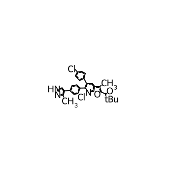 Cc1n[nH]cc1-c1ccc(-c2nc3oc(C(=O)C(C)(C)C)c(C)c3cc2-c2ccc(Cl)cc2)c(Cl)c1